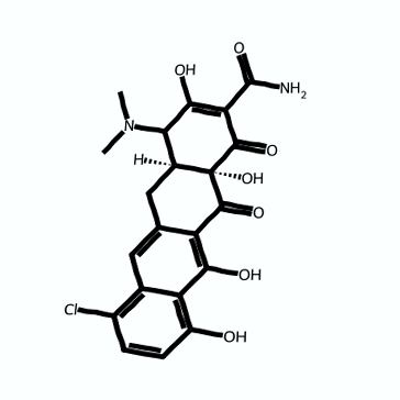 CN(C)C1C(O)=C(C(N)=O)C(=O)[C@@]2(O)C(=O)c3c(cc4c(Cl)ccc(O)c4c3O)C[C@@H]12